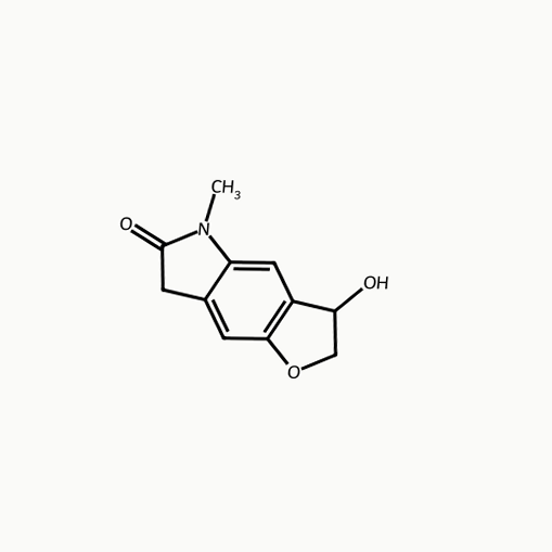 CN1C(=O)Cc2cc3c(cc21)C(O)CO3